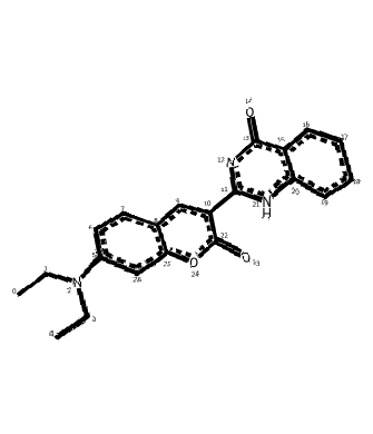 CCN(CC)c1ccc2cc(-c3nc(=O)c4ccccc4[nH]3)c(=O)oc2c1